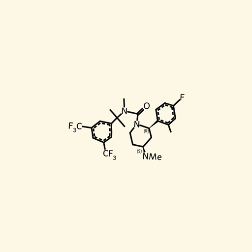 CN[C@H]1CCN(C(=O)N(C)C(C)(C)c2cc(C(F)(F)F)cc(C(F)(F)F)c2)[C@@H](c2ccc(F)cc2C)C1